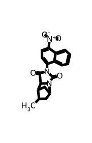 CC1CC2CC1C1C(=O)N(c3ccc([N+](=O)[O-])c4ccccc34)C(=O)N21